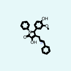 COc1cc(C2C(C/C=C/c3ccccc3)=C(O)C(=O)N2c2ccccc2)ccc1O